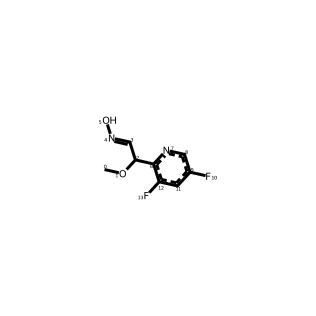 COC(C=NO)c1ncc(F)cc1F